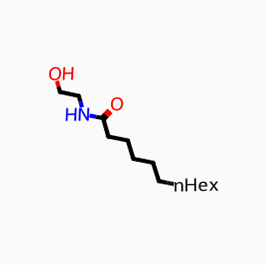 CCCCCCCCCCCC(=O)NCCO